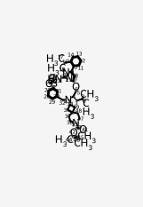 CC(C)C[C@@H]1COc2cc(-c3ccccc3C(C)C)nc(n2)NS(=O)(=O)c2cccc(c2)CN1C1CC2(CCN(C(=O)OC(C)(C)C)CC2)C1